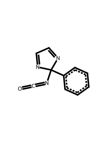 O=C=NC1(c2ccccc2)N=CC=N1